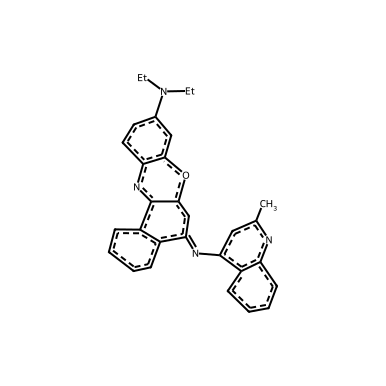 CCN(CC)c1ccc2nc3c4ccccc4c(=Nc4cc(C)nc5ccccc45)cc-3oc2c1